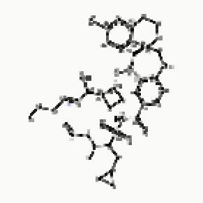 C=CCC(C)C(CC1CC1)S(=O)(=O)NC(=O)c1ccc2c(c1)N(C[C@@H]1CC[C@H]1C(O)/C=C/CCC)C[C@@]1(CCCc3cc(Cl)ccc31)CO2